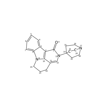 O=c1c2c3ccccc3n3c2c(cn1C12CCN(CC1)CC2)CCC3